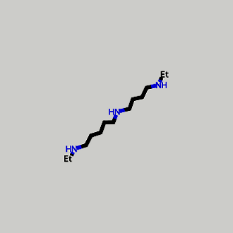 CCNCCCCCNCCCCNCC